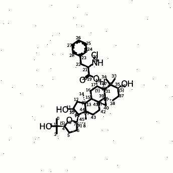 CC(C)(O)[C@@H]1CC[C@](C)([C@H]2[C@@H](O)C[C@@]3(C)C4C[C@H](OC(=O)C(Cc5ccccc5)NCl)[C@H]5C(C)(C)[C@@H](O)CC[C@@]56C[C@@]46CC[C@]23C)O1